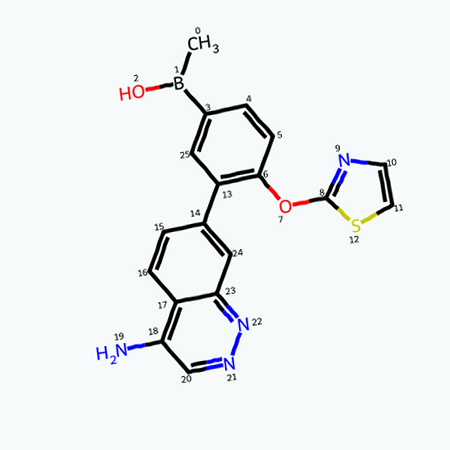 CB(O)c1ccc(Oc2nccs2)c(-c2ccc3c(N)cnnc3c2)c1